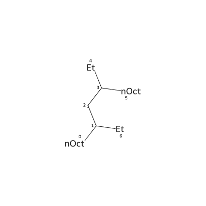 CCCCCCCCC([CH]C(CC)CCCCCCCC)CC